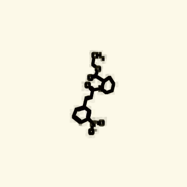 CCOC(=O)C1CCCCN1C(=O)/C=C/c1cc[c]c([N+](=O)[O-])c1